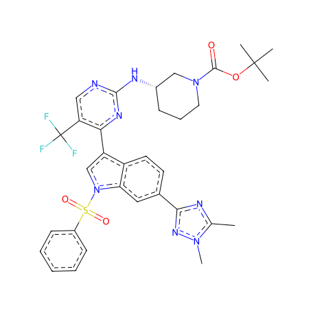 Cc1nc(-c2ccc3c(-c4nc(N[C@H]5CCCN(C(=O)OC(C)(C)C)C5)ncc4C(F)(F)F)cn(S(=O)(=O)c4ccccc4)c3c2)nn1C